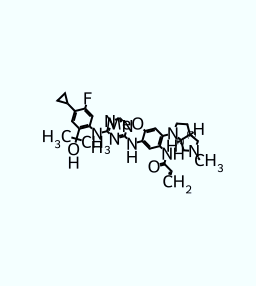 C=CC(=O)Nc1cc(Nc2ncnc(Nc3cc(F)c(C4CC4)cc3C(C)(C)O)n2)c(OC)cc1N1CC[C@@H]2CN(C)C[C@@H]21